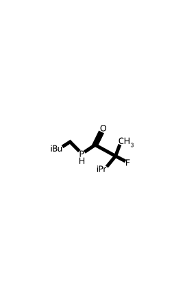 CCC(C)CPC(=O)C(C)(F)C(C)C